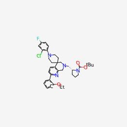 CCOc1ccccc1-c1ccc2c(n1)CN(C[C@H]1CCCN1C(=O)OC(C)(C)C)CC21CCN(c2ccc(F)cc2Cl)CC1